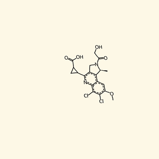 COc1cc2c3c(c(C4CC4C(=O)O)nc2c(Cl)c1Cl)CN(C(=O)CO)[C@H]3C